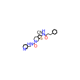 N#Cc1c(NC(=O)CCc2ccccc2)sc2c1CCN(C(=O)NCc1cccnc1)C2